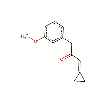 COc1cccc(CC(=O)C=C2CC2)c1